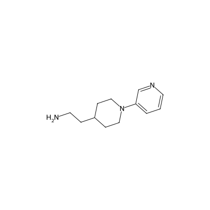 NCCC1CCN(c2cccnc2)CC1